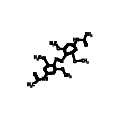 COc1cc(NC(C)=O)cc(OC)c1N=Nc1c(OC)cc(NC(C)=O)cc1OC